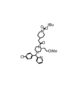 COCC[C@H]1CN(C(c2ccc(Cl)cc2)c2ccccn2)CCN1C(=O)CC1CCN(C(=O)OC(C)(C)C)CC1